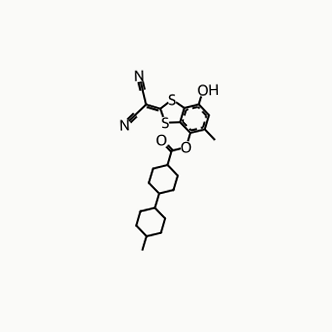 Cc1cc(O)c2c(c1OC(=O)C1CCC(C3CCC(C)CC3)CC1)SC(=C(C#N)C#N)S2